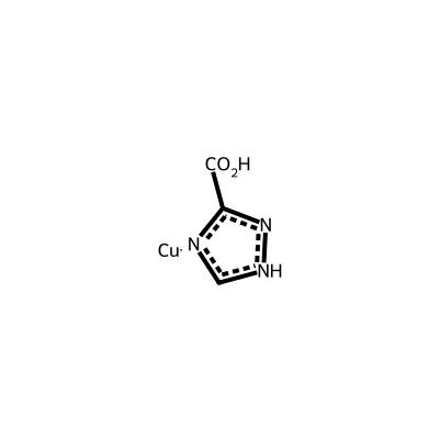 O=C(O)c1nc[nH]n1.[Cu]